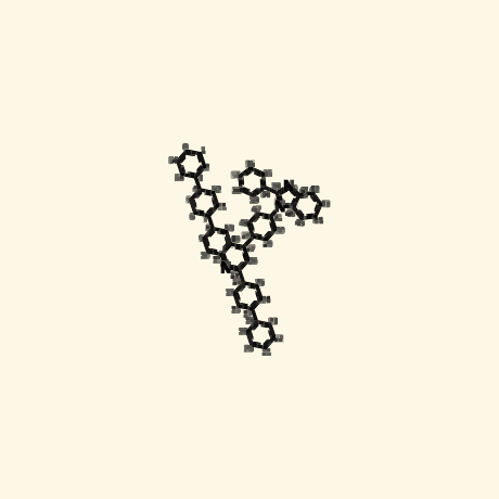 c1ccc(-c2ccc(-c3ccc4nc(-c5ccc(-c6ccccc6)cc5)cc(-c5ccc(-n6c(-c7ccccc7)nc7ccccc76)cc5)c4c3)cc2)cc1